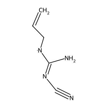 C=CC[N]/C(N)=N/C#N